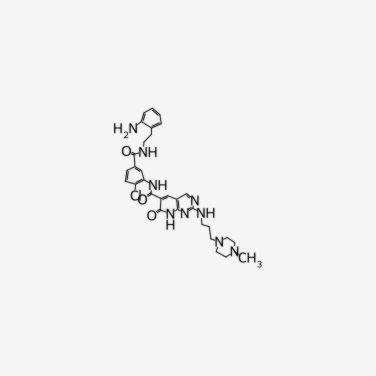 CN1CCN(CCCNc2ncc3cc(C(=O)Nc4cc(C(=O)NCCc5ccccc5N)ccc4Cl)c(=O)[nH]c3n2)CC1